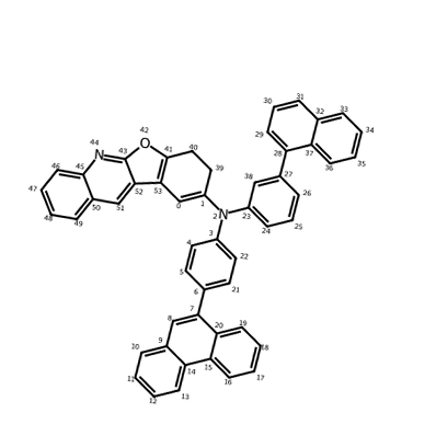 C1=C(N(c2ccc(-c3cc4ccccc4c4ccccc34)cc2)c2cccc(-c3cccc4ccccc34)c2)CCc2oc3nc4ccccc4cc3c21